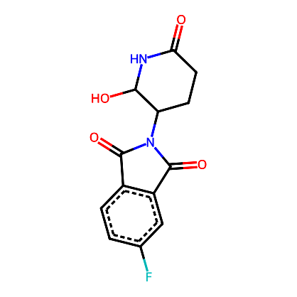 O=C1CCC(N2C(=O)c3ccc(F)cc3C2=O)C(O)N1